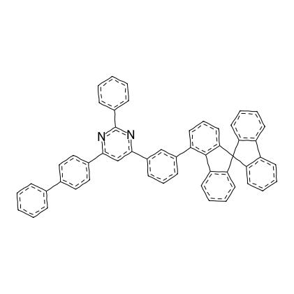 c1ccc(-c2ccc(-c3cc(-c4cccc(-c5cccc6c5-c5ccccc5C65c6ccccc6-c6ccccc65)c4)nc(-c4ccccc4)n3)cc2)cc1